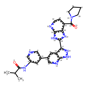 CC(C)C(=O)Nc1cncc(-c2cnc3[nH]nc(-c4nc5c(C(=O)N6CCCC6)ccnc5[nH]4)c3c2)c1